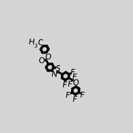 Cc1ccc(OC(=O)c2ccc3nc(-c4cc(F)c(C(F)(F)Oc5cc(F)c(F)c(F)c5)c(F)c4)sc3c2)cc1